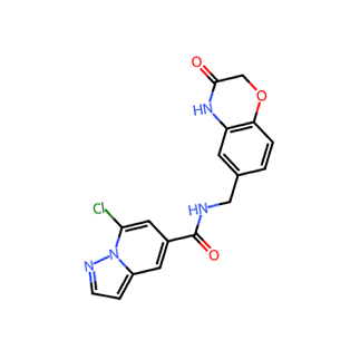 O=C1COc2ccc(CNC(=O)c3cc(Cl)n4nccc4c3)cc2N1